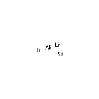 [Al].[Li].[Si].[Ti]